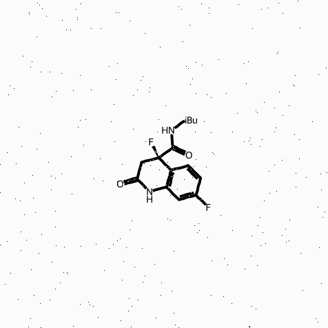 CCC(C)NC(=O)[C@@]1(F)CC(=O)Nc2cc(F)ccc21